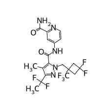 Cc1c(C(C)(F)F)nn(CC2(C(F)(F)F)CC(F)(F)C2)c1C(=O)Nc1ccnc(C(N)=O)c1